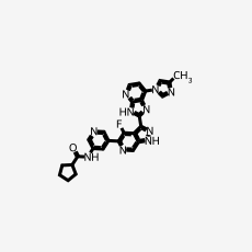 Cc1cn(-c2ccnc3[nH]c(-c4n[nH]c5cnc(-c6cncc(NC(=O)C7CCCC7)c6)c(F)c45)nc23)cn1